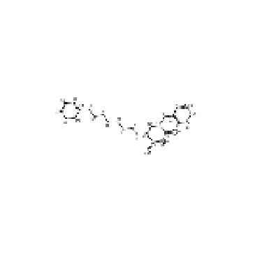 O=c1[nH]c(=S)n(CCCCCCCCc2ccccc2)cc1Cc1cncnc1